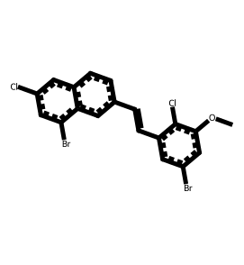 COc1cc(Br)cc(C=Cc2ccc3cc(Cl)cc(Br)c3c2)c1Cl